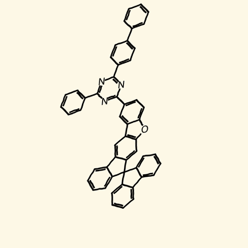 c1ccc(-c2ccc(-c3nc(-c4ccccc4)nc(-c4ccc5oc6cc7c(cc6c5c4)-c4ccccc4C74c5ccccc5-c5ccccc54)n3)cc2)cc1